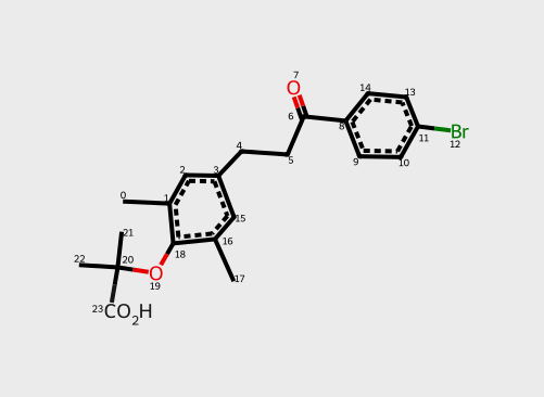 Cc1cc(CCC(=O)c2ccc(Br)cc2)cc(C)c1OC(C)(C)C(=O)O